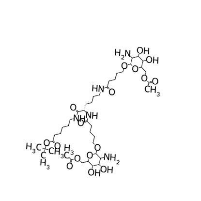 CC(=O)OCC1OC(OCCCCC(=O)NCCCC[C@H](NC(=O)CCCCOC2OC(COC(C)=O)C(O)C(O)C2N)C(=O)NCCCCCC(=O)OC(C)(C)C)C(N)C(O)C1O